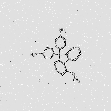 COc1cccc2c1-c1ccccc1C2(c1ccc(N)cc1)c1ccc(N)cc1